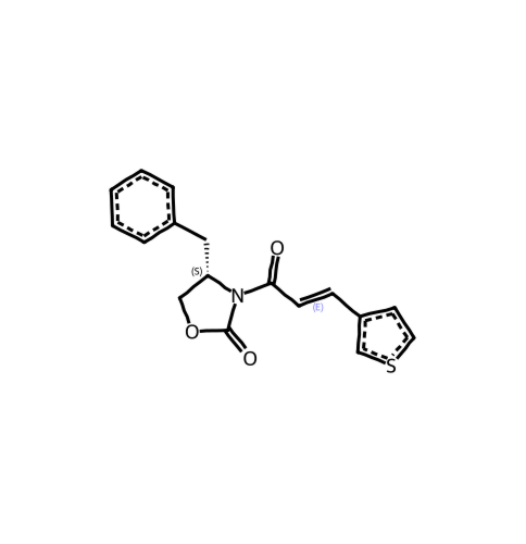 O=C(/C=C/c1ccsc1)N1C(=O)OC[C@@H]1Cc1ccccc1